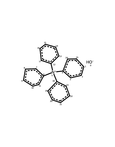 [OH-].c1ccc([N+](c2ccccc2)(c2ccccc2)c2ccccc2)cc1